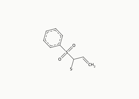 C=CC([S])S(=O)(=O)c1ccccc1